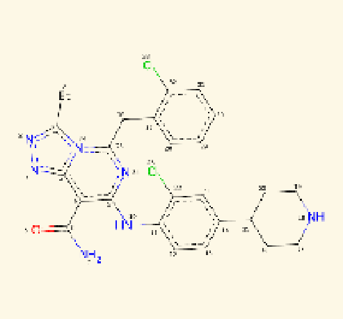 CCc1nnc2c(C(N)=O)c(Nc3ccc(C4CCNCC4)cc3Cl)nc(Cc3ccccc3Cl)n12